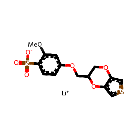 COc1cc(OCC2COc3cscc3O2)ccc1S(=O)(=O)[O-].[Li+]